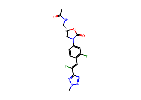 CC(=O)NC[C@H]1CN(c2ccc(C=C(F)c3nnn(C)n3)c(F)c2)C(=O)O1